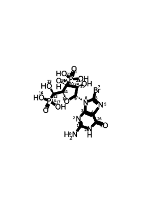 Nc1nc2c(nc(Br)n2[C@@H]2O[C@H]([C@H](O)P(=O)(O)O)[C@@](O)(P(=O)(O)O)[C@@H]2O)c(=O)[nH]1